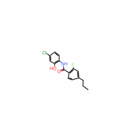 CCCc1ccc(C(=O)Nc2ccc(Cl)cc2O)c(F)c1